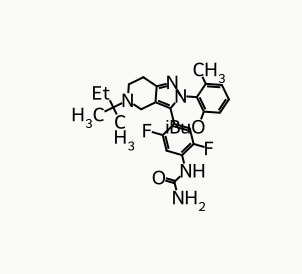 CCC(C)(C)N1CCc2nn(-c3c(C)cccc3OCC(C)C)c(-c3cc(F)c(NC(N)=O)cc3F)c2C1